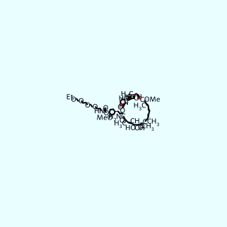 CCOCCOCCOCCOCCNC(=O)O[C@@H]1CC[C@@H](C[C@@H](N)[C@@H]2CC(=O)[C@H](C)/C=C(\C)[C@@H](O)[C@@H](O)C(=O)[C@H](C)C[C@H](C)/C=C/C=C/C=C(\C)[C@@H](OC)C[C@@H]3CC[C@@H](C)[C@@](O)(O3)C(=O)C(O)N3CCCC[C@H]3C(=O)O2)C[C@H]1OC